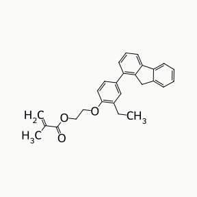 C=C(C)C(=O)OCCOc1ccc(-c2cccc3c2Cc2ccccc2-3)cc1CC